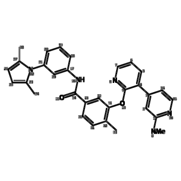 CNc1cc(-c2cccnc2Oc2cc(C(=O)Nc3cccc(-n4c(C)ccc4C)c3)ccc2C)ccn1